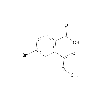 COC(=O)c1cc(Br)ccc1C(=O)O